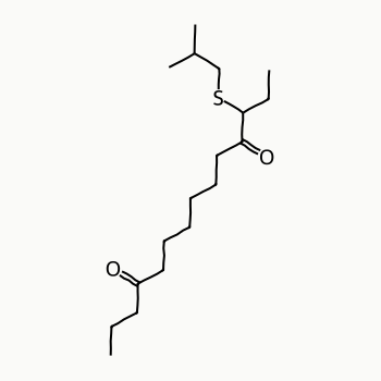 CCCC(=O)CCCCCCC(=O)C(CC)SCC(C)C